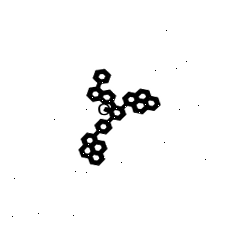 c1ccc(-c2cccc3c2ccc2c3oc3c(-c4ccc(-c5ccc6ccc7cccc8ccc5c6c78)cc4)ccc(-c4ccc5ccc6cccc7ccc4c5c67)c32)cc1